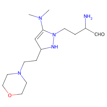 CN(C)C1=CC(CCN2CCOCC2)NN1CCC(N)C=O